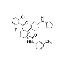 Cc1cccc(F)c1C(=O)N1CCC[C@H](C(=O)Nc2cccc(C(F)(F)F)c2)[C@@H]1c1ccc(NC2CCCC2)cc1